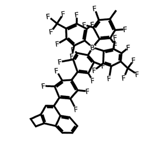 Cc1c(F)c(F)c([B-](c2c(F)c(F)c(-c3c(F)c(F)c(-c4cc5c(c6ccccc46)CC5)c(F)c3F)c(F)c2F)(c2c(F)c(F)c(C(F)(F)F)c(F)c2F)c2c(F)c(F)c(C(F)(F)F)c(F)c2F)c(F)c1F